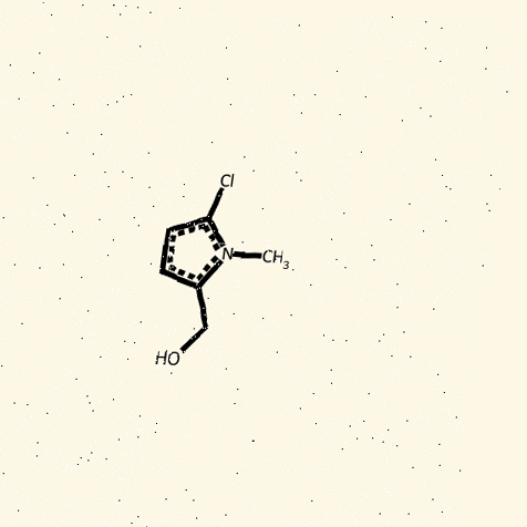 Cn1c(Cl)ccc1CO